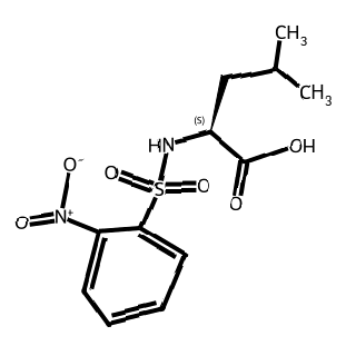 CC(C)C[C@H](NS(=O)(=O)c1ccccc1[N+](=O)[O-])C(=O)O